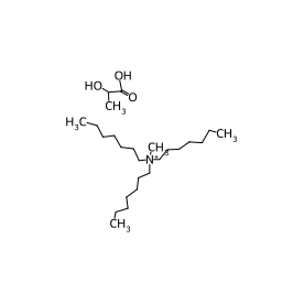 CC(O)C(=O)O.CCCCCCC[N+](C)(CCCCCCC)CCCCCCC